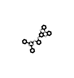 c1ccc(-c2nc(Oc3ccccc3Oc3cc4c5c(c3)Oc3ccccc3N5c3ccccc3O4)nc(-c3ccccc3)n2)cc1